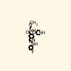 COCCNC(=O)c1cc2cnc(Nc3cccc(F)c3)nc2cc1OC1CCNCC1